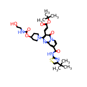 CC(C)(C)OC(=O)C=Cc1c(N2CCC(OC(=O)NCCO)CC2)nc2cc(C(=O)Nc3nc(C(C)(C)C)cs3)ccn2c1=O